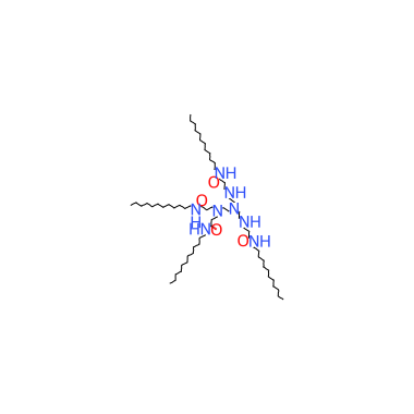 CCCCCCCCCCCCNC(=O)CCNCCN(CCNCCC(=O)NCCCCCCCCCCCC)CCN(CCC(=O)NCCCCCCCCCCCC)CCC(=O)NCCCCCCCCCCCC